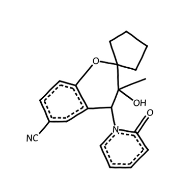 CC1(O)C(n2ccccc2=O)c2cc(C#N)ccc2OC12CCCC2